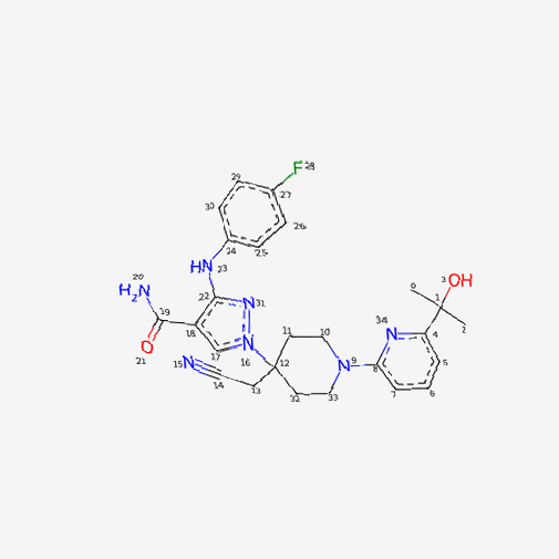 CC(C)(O)c1cccc(N2CCC(CC#N)(n3cc(C(N)=O)c(Nc4ccc(F)cc4)n3)CC2)n1